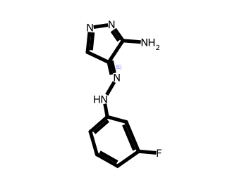 NC1=NN=C/C1=N\Nc1cccc(F)c1